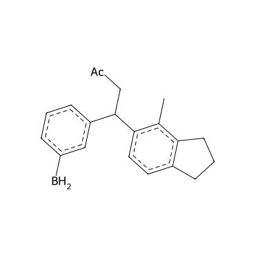 Bc1cccc(C(CC(C)=O)c2ccc3c(c2C)CCC3)c1